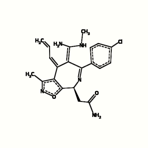 C=C/C=C1\C(=C(/N)NC)C(c2ccc(Cl)cc2)=N[C@@H](CC(N)=O)c2onc(C)c21